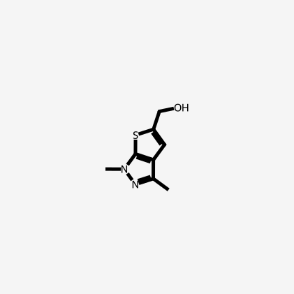 Cc1nn(C)c2sc(CO)cc12